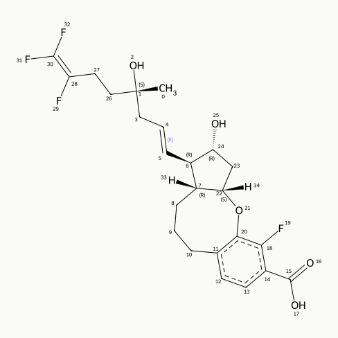 C[C@@](O)(C/C=C/[C@@H]1[C@H]2CCCc3ccc(C(=O)O)c(F)c3O[C@H]2C[C@H]1O)CCC(F)=C(F)F